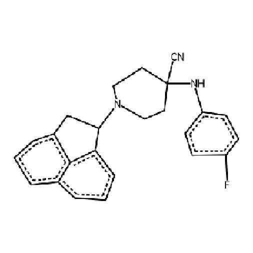 N#CC1(Nc2ccc(F)cc2)CCN(C2Cc3cccc4cccc2c34)CC1